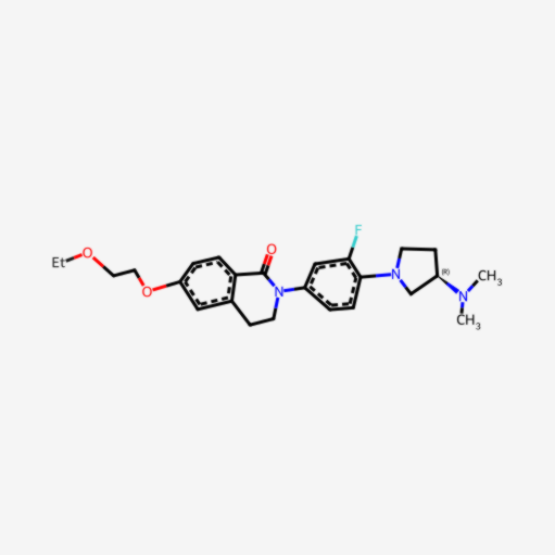 CCOCCOc1ccc2c(c1)CCN(c1ccc(N3CC[C@@H](N(C)C)C3)c(F)c1)C2=O